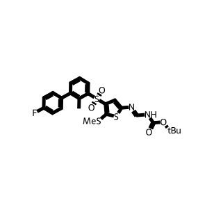 CSc1sc(/N=C/NC(=O)OC(C)(C)C)cc1S(=O)(=O)c1cccc(-c2ccc(F)cc2)c1C